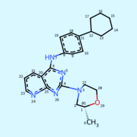 C[C@@H]1CN(c2nc(Nc3ccc(C4CCCCC4)cc3)c3cccnc3n2)CCO1